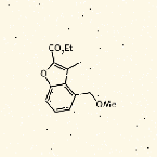 CCOC(=O)c1oc2cccc(COC)c2c1C